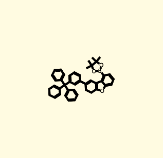 CC1(C)OB(c2cccc3oc4c(c23)C=C(c2cccc(C(C3=CCCC=C3)(c3ccccc3)c3ccccc3)c2)CC4)OC1(C)C